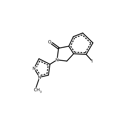 Cn1cc(N2Cc3c(I)cccc3C2=O)cn1